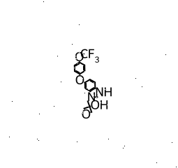 OC1(CN2CNc3ccc(Oc4ccc(OC(F)(F)F)cc4)cc32)COC1